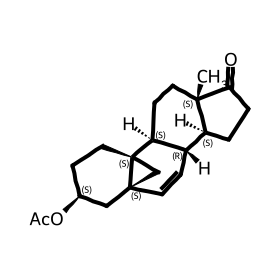 CC(=O)O[C@H]1CC[C@@]23C[C@@]2(C=C[C@@H]2[C@@H]3CC[C@]3(C)C(=O)CC[C@@H]23)C1